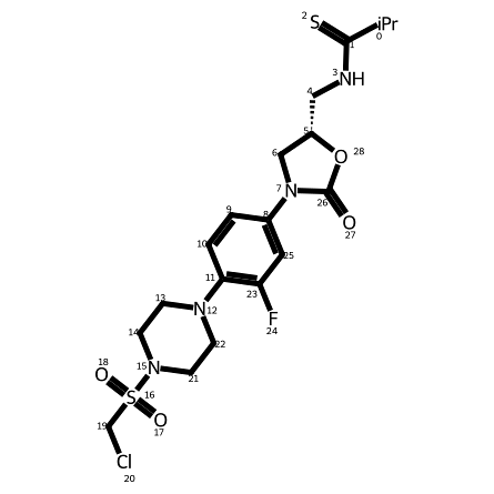 CC(C)C(=S)NC[C@H]1CN(c2ccc(N3CCN(S(=O)(=O)CCl)CC3)c(F)c2)C(=O)O1